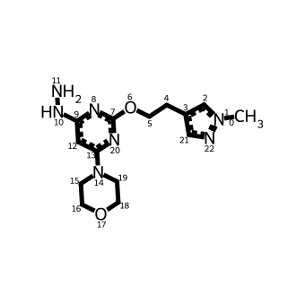 Cn1cc(CCOc2nc(NN)cc(N3CCOCC3)n2)cn1